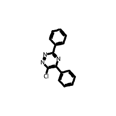 Clc1nnc(-c2ccccc2)nc1-c1ccccc1